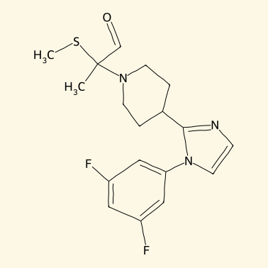 CSC(C)(C=O)N1CCC(c2nccn2-c2cc(F)cc(F)c2)CC1